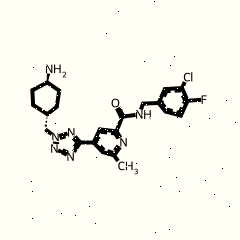 Cc1cc(-c2nnn(C[C@H]3CC[C@H](N)CC3)n2)cc(C(=O)NCc2ccc(F)c(Cl)c2)n1